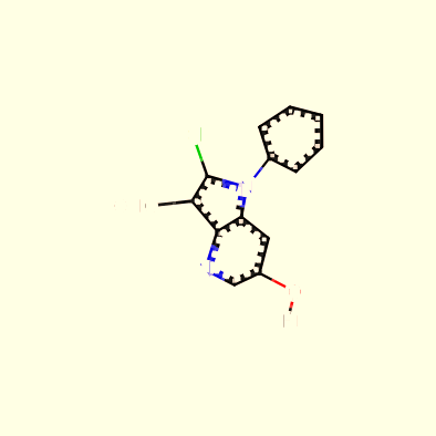 CCOc1cnc2c(C=O)c(Cl)n(-c3ccccc3)c2c1